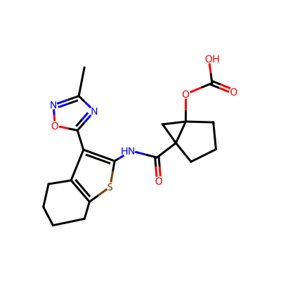 Cc1noc(-c2c(NC(=O)C34CCCC3(OC(=O)O)C4)sc3c2CCCC3)n1